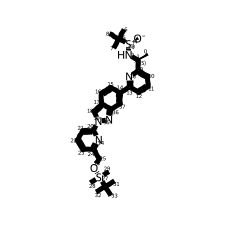 C[C@H](N[S@+]([O-])C(C)(C)C)c1cccc(-c2ccc3cn(-c4cccc(CO[Si](C)(C)C(C)(C)C)n4)nc3c2)n1